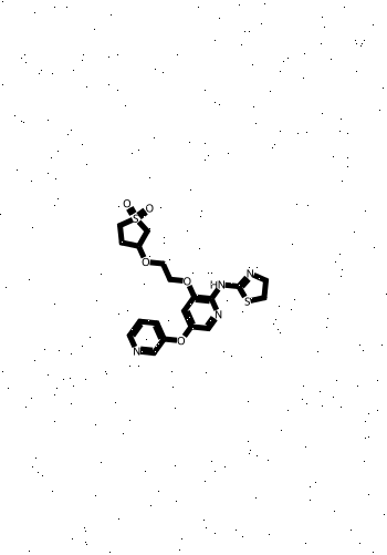 O=S1(=O)CCC(OCCOc2cc(Oc3cccnc3)cnc2NC2=NCCS2)C1